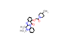 CC1CCN(C(=O)COc2cccc3nc(C(C)NC(=O)O)n(-c4ccccc4)c(=O)c23)CC1